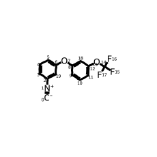 [C-]#[N+]c1cccc(Oc2cccc(OC(F)(F)F)c2)c1